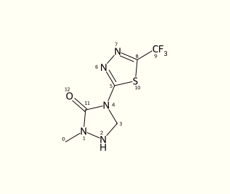 CN1NCN(c2nnc(C(F)(F)F)s2)C1=O